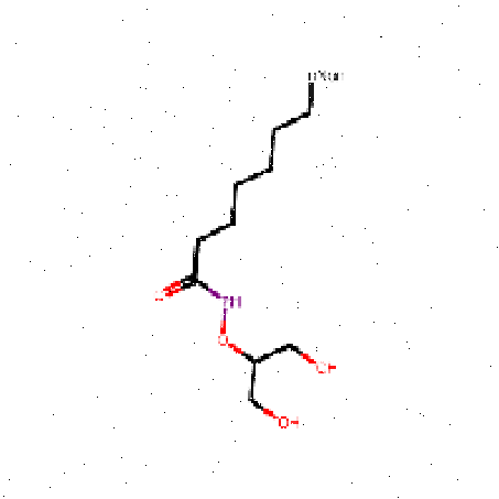 CCCCCCCCCCCCCCCC(=O)POC(CO)CO